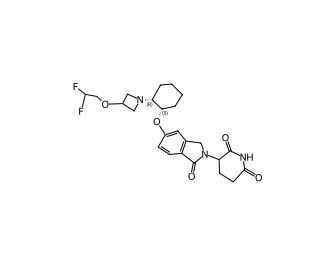 O=C1CCC(N2Cc3cc(O[C@H]4CCCC[C@H]4N4CC(OCC(F)F)C4)ccc3C2=O)C(=O)N1